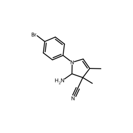 CC1=CN(c2ccc(Br)cc2)C(N)C1(C)C#N